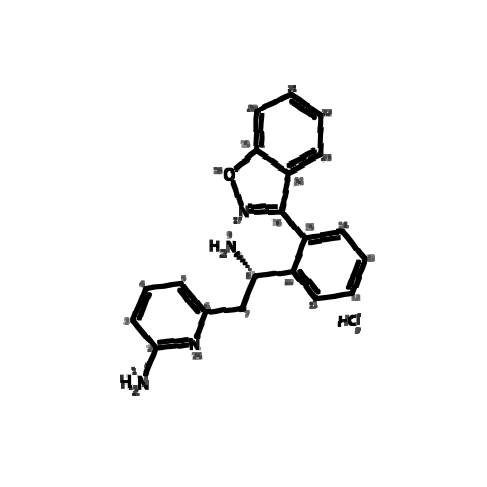 Cl.Nc1cccc(C[C@H](N)c2ccccc2-c2noc3ccccc23)n1